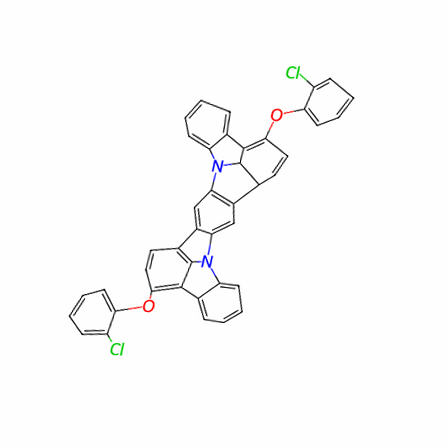 Clc1ccccc1OC1=C2c3ccccc3N3c4cc5c6ccc(Oc7ccccc7Cl)c7c8ccccc8n(c5cc4C(C=C1)C23)c67